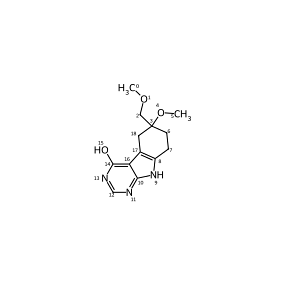 COCC1(OC)CCc2[nH]c3ncnc(O)c3c2C1